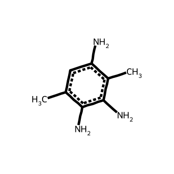 Cc1cc(N)c(C)c(N)c1N